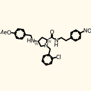 COc1ccc(CN[C@H]2C[C@@H](C(=O)NCCc3ccc([N+](=O)[O-])cc3)N(Cc3ccccc3Cl)C2)cc1